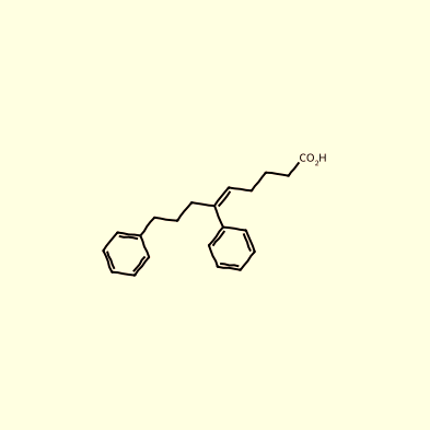 O=C(O)CCCC=C(CCCc1ccccc1)c1ccccc1